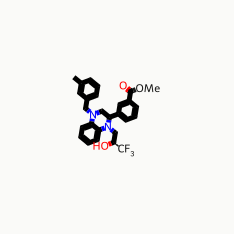 COC(=O)c1cccc(C2CN(Cc3cccc(C)c3)c3ccccc3N2C[C@@H](O)C(F)(F)F)c1